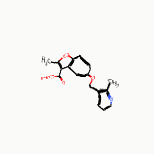 Cc1ncccc1COc1ccc2oc(C)c(C(=O)O)c2c1